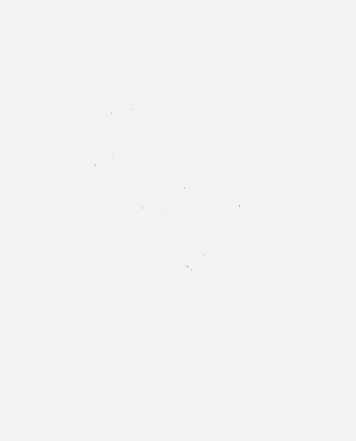 Cc1cnc(-c2c(C)ccc3c2oc2cc4c(cc23)-c2ccccc2C4(C)C)cc1C(C)C